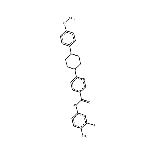 COc1ccc(N2CCN(c3ccc(C(=O)Nc4ccc(C)c(I)c4)cn3)CC2)cc1